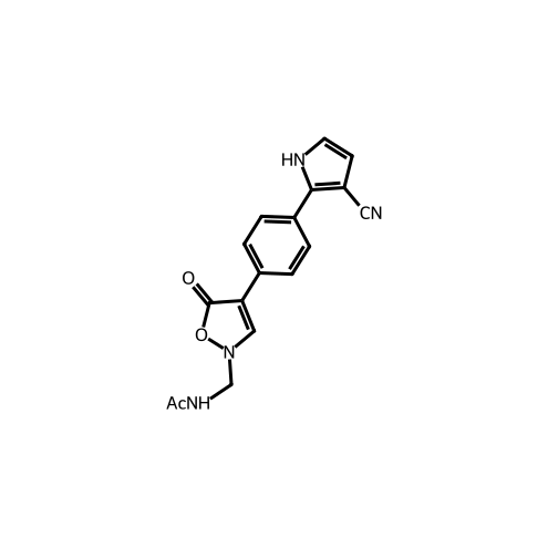 CC(=O)NCn1cc(-c2ccc(-c3[nH]ccc3C#N)cc2)c(=O)o1